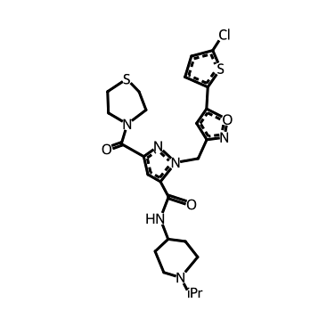 CC(C)N1CCC(NC(=O)c2cc(C(=O)N3CCSCC3)nn2Cc2cc(-c3ccc(Cl)s3)on2)CC1